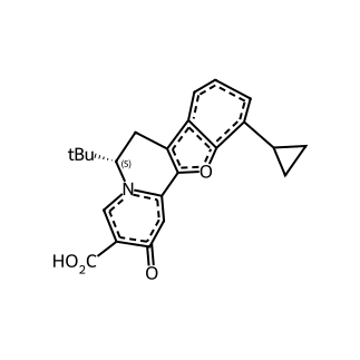 CC(C)(C)[C@@H]1Cc2c(oc3c(C4CC4)cccc23)-c2cc(=O)c(C(=O)O)cn21